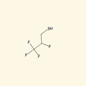 FC(CS)C(F)(F)F